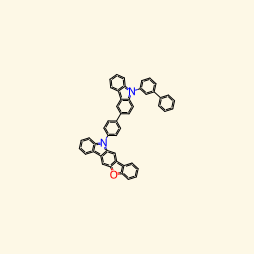 c1ccc(-c2cccc(-n3c4ccccc4c4cc(-c5ccc(-n6c7ccccc7c7cc8oc9ccccc9c8cc76)cc5)ccc43)c2)cc1